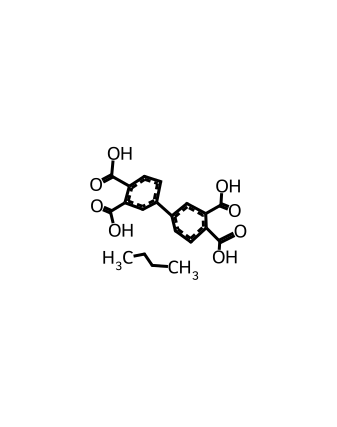 CCCC.O=C(O)c1ccc(-c2ccc(C(=O)O)c(C(=O)O)c2)cc1C(=O)O